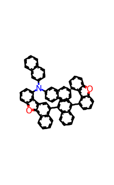 c1ccc2cc(N(c3ccc4ccccc4c3)c3cccc4oc5c6ccccc6c(-c6ccc(-c7cccc8oc9ccccc9c78)c7ccccc67)cc5c34)ccc2c1